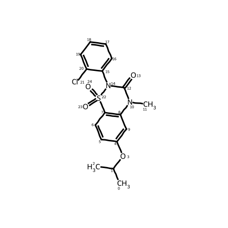 CC(C)Oc1ccc2c(c1)N(C)C(=O)N(c1ccccc1Cl)S2(=O)=O